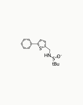 CC(C)(C)[S@@+]([O-])NCc1ccc(-c2ccccc2)s1